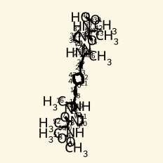 COC(=O)N[C@H](C(=O)N1CCC[C@H]1c1nc(C)c(C#Cc2ccc(C#Cc3[nH]c([C@@H]4CCCN4C(=O)[C@H](NC(=O)O)C(C)C)nc3C)cc2)[nH]1)C(C)C